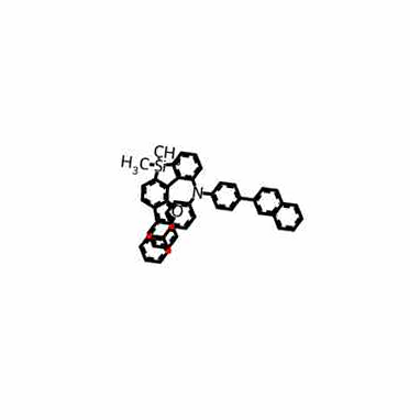 C[Si]1(C)c2cccc(N(c3ccc(-c4ccccc4)cc3)c3ccc(-c4ccc5ccccc5c4)cc3)c2-c2c1ccc1c2oc2ccccc21